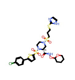 O=C(NOC1CCCCO1)[C@H]1CN(S(=O)(=O)CCCSc2ncc[nH]2)CCN1S(=O)(=O)c1ccc(-c2ccc(Cl)cc2)s1